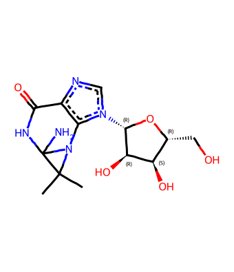 CC1(C)N2c3c(ncn3[C@@H]3O[C@H](CO)[C@@H](O)[C@H]3O)C(=O)NC21N